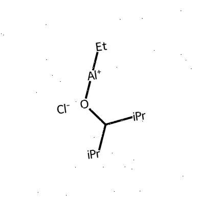 C[CH2][Al+][O]C(C(C)C)C(C)C.[Cl-]